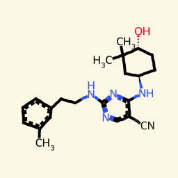 Cc1cccc(CCNc2ncc(C#N)c(N[C@@H]3CC[C@@H](O)C(C)(C)C3)n2)c1